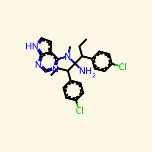 CCC(c1ccc(Cl)cc1)C(N)(C(CC)c1ccc(Cl)cc1)N(C)c1ncnc2[nH]ccc12